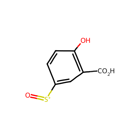 O=[S+]c1ccc(O)c(C(=O)O)c1